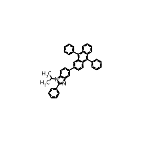 CC(C)n1c(-c2ccccc2)nc2cc(-c3ccc4c(-c5ccccc5)c5ccccc5c(-c5ccccc5)c4c3)ccc21